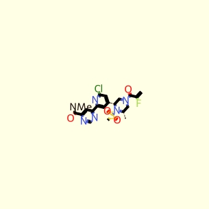 C=C(F)C(=O)N1C[C@H](C)N(S(C)(=O)=O)[C@H](c2cc(Cl)nc(-c3cc(C(=O)NC)ncn3)c2)C1